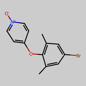 Cc1cc(Br)cc(C)c1Oc1cc[n+]([O-])cc1